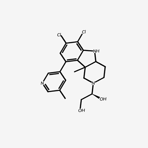 Cc1cncc(-c2cc(Cl)c(Cl)c3c2C2(C)CN([C@@H](O)CO)CCC2N3)c1